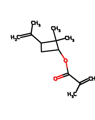 C=C(C)C(=O)OC1CC(C(=C)C)C1(C)C